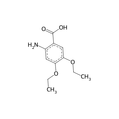 CCOc1cc(N)c(C(=O)O)cc1OCC